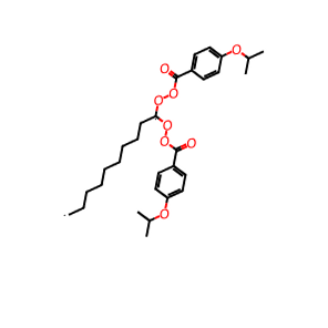 [CH2]CCCCCCCC[C](OOC(=O)c1ccc(OC(C)C)cc1)OOC(=O)c1ccc(OC(C)C)cc1